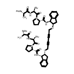 CN[C@@H](C)C(=O)N[C@H](C(=O)N1CCC[C@H]1C(=O)N[C@H]1c2ccccc2C[C@H]1OCC#CC#CCO[C@@H]1Cc2ccccc2[C@@H]1NC(=O)[C@@H]1CCCN1C(=O)[C@@H](NC(=O)[C@H](C)NC)C(C)(C)C)C(C)(C)C